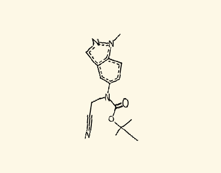 Cn1ncc2cc(N(CC#N)C(=O)OC(C)(C)C)ccc21